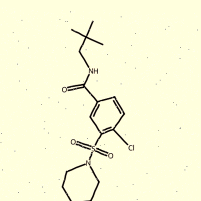 CC(C)(C)CNC(=O)c1ccc(Cl)c(S(=O)(=O)N2CCCCC2)c1